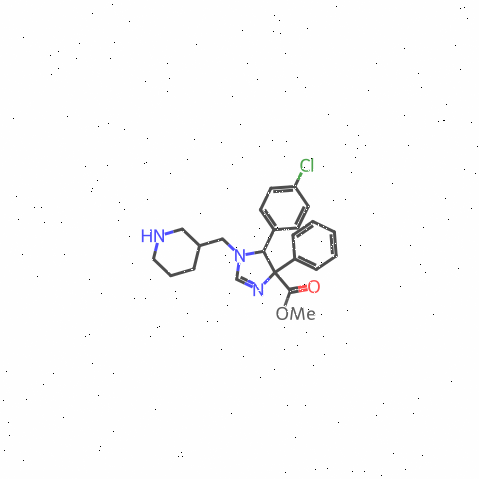 COC(=O)C1(c2ccccc2)N=CN(CC2CCCNC2)C1c1ccc(Cl)cc1